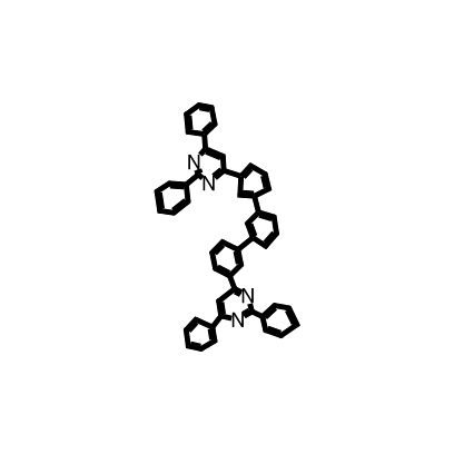 c1ccc(-c2cc(-c3cccc(-c4cccc(-c5cccc(-c6cc(-c7ccccc7)nc(-c7ccccc7)n6)c5)c4)c3)nc(-c3ccccc3)n2)cc1